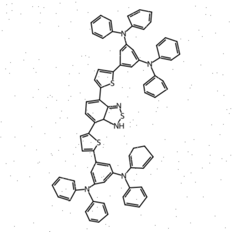 C1=CC(N(c2ccccc2)c2cc(-c3ccc(C4=CC=C(c5ccc(-c6cc(N(c7ccccc7)c7ccccc7)cc(N(c7ccccc7)c7ccccc7)c6)s5)C5=NSNC45)s3)cc(N(c3ccccc3)c3ccccc3)c2)=CCC1